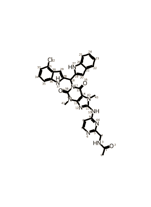 CC(=O)NCc1nccc(Nc2nc3c(c(=O)n(C(c4cc5ccccc5[nH]4)c4cc5c(Cl)cccc5[nH]4)c(=O)n3C)n2C)n1